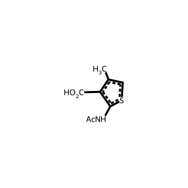 CC(=O)Nc1scc(C)c1C(=O)O